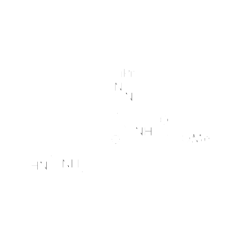 COC(=O)c1ccccc1NC(=O)c1nn(C(C)C)c2ccc(-c3cccc(C(=N)N)c3)cc12